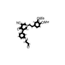 COc1ccc(CCn2cc(C#N)c(=O)c(-c3cccc(OCCCl)c3)c2)cc1OC